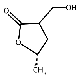 C[C@H]1CC(CO)C(=O)O1